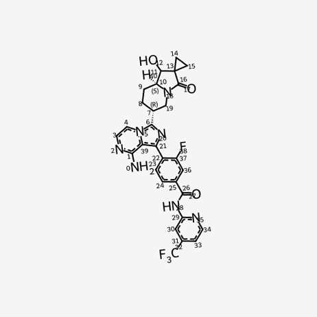 Nc1nccn2c([C@@H]3CC[C@H]4C(O)C5(CC5)C(=O)N4C3)nc(-c3ccc(C(=O)Nc4cc(C(F)(F)F)ccn4)cc3F)c12